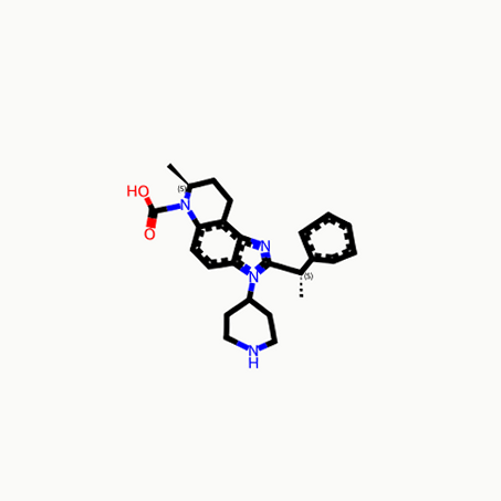 C[C@@H](c1ccccc1)c1nc2c3c(ccc2n1C1CCNCC1)N(C(=O)O)[C@@H](C)CC3